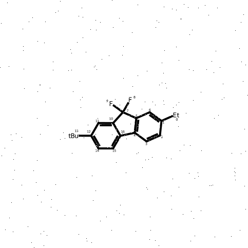 CCc1ccc2c(c1)C(F)(F)c1cc(C(C)(C)C)ccc1-2